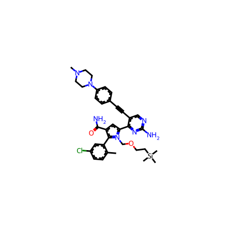 Cc1ccc(Cl)cc1-c1c(C(N)=O)cc(-c2nc(N)ncc2C#Cc2ccc(N3CCN(C)CC3)cc2)n1COCC[Si](C)(C)C